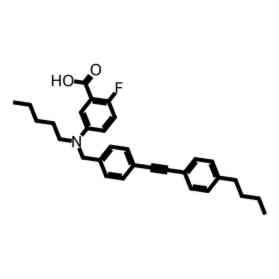 CCCCCN(Cc1ccc(C#Cc2ccc(CCCC)cc2)cc1)c1ccc(F)c(C(=O)O)c1